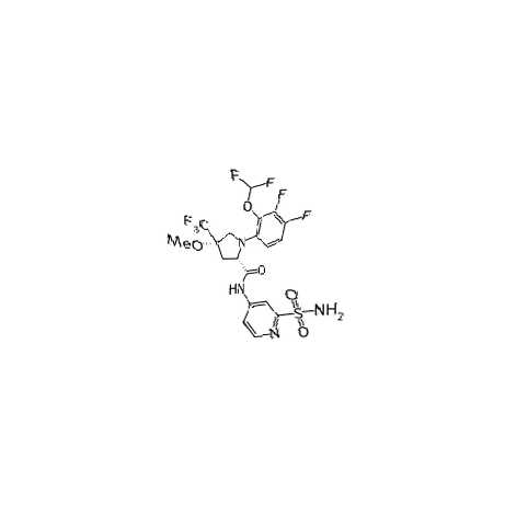 CO[C@@]1(C(F)(F)F)C[C@@H](C(=O)Nc2ccnc(S(N)(=O)=O)c2)N(c2ccc(F)c(F)c2OC(F)F)C1